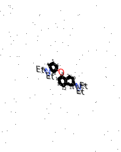 CCN(CC)c1cccc(Oc2cccc3cc(N(CC)CC)ccc23)c1